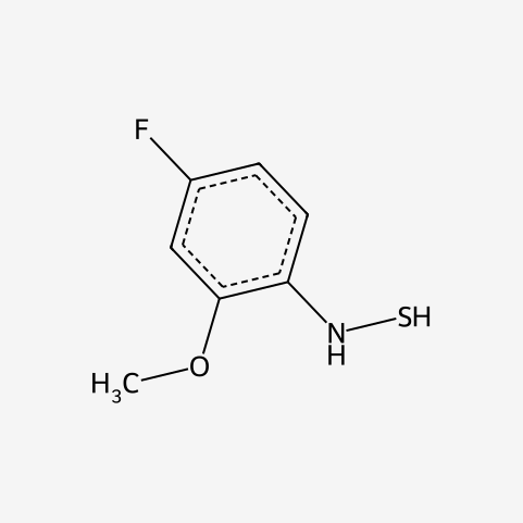 COc1cc(F)ccc1NS